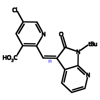 CC(C)(C)N1C(=O)/C(=C\c2ncc(Cl)cc2C(=O)O)c2cccnc21